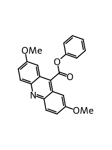 COc1ccc2nc3ccc(OC)cc3c(C(=O)Oc3ccccc3)c2c1